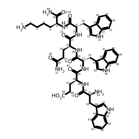 NCCCC[C@H](NC(=O)[C@H](Cc1c[nH]c2ccccc12)NC(=O)[C@H](CCC(N)=O)NC(=O)[C@H](Cc1c[nH]c2ccccc12)NC(=O)[C@H](CCC(=O)O)NC(=O)[C@@H](N)Cc1c[nH]c2ccccc12)C(N)=O